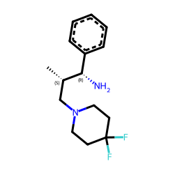 C[C@@H](CN1CCC(F)(F)CC1)[C@@H](N)c1ccccc1